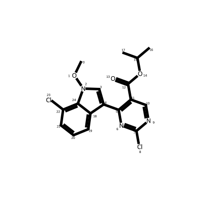 COn1cc(-c2nc(Cl)ncc2C(=O)OC(C)C)c2cccc(Cl)c21